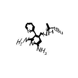 C[C@H](NCc1cc(N)nc(N)c1-c1ccccn1)C(C)(C)C